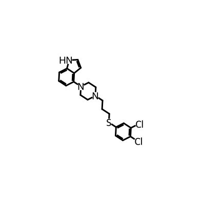 Clc1ccc(SCCCN2CCN(c3cccc4[nH]ccc34)CC2)cc1Cl